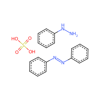 NNc1ccccc1.O=S(=O)(O)O.c1ccc(N=Nc2ccccc2)cc1